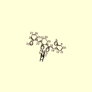 CNC.CNC.COc1ccccc1C=CC(=O)C1CCCC(=Cc2ccccc2OC)C1=O